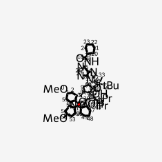 COc1ccc(C(OC[C@H]2C[C@@H](n3cnc4c(NC(=O)c5ccccc5)ncnc43)[C@H](O[Si](C)(C)C(C)(C)C)[C@@H]2P(O)(O)(CCC#N)N(C(C)C)C(C)C)(c2ccccc2)c2ccc(OC)cc2)cc1